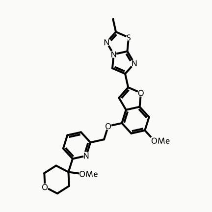 COc1cc(OCc2cccc(C3(OC)CCOCC3)n2)c2cc(-c3cn4nc(C)sc4n3)oc2c1